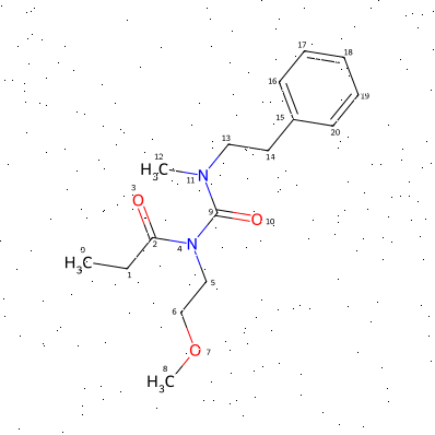 CCC(=O)N(CCOC)C(=O)N(C)CCc1ccccc1